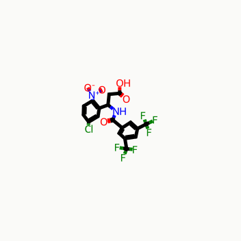 O=C(O)CC(NC(=O)c1cc(C(F)(F)F)cc(C(F)(F)F)c1)c1cc(Cl)ccc1[N+](=O)[O-]